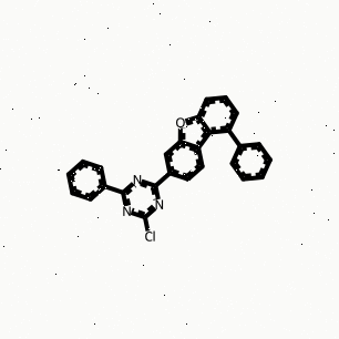 Clc1nc(-c2ccccc2)nc(-c2ccc3c(c2)oc2cccc(-c4ccccc4)c23)n1